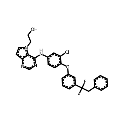 OCCn1ccc2ncnc(Nc3ccc(Oc4cccc(C(F)(F)Cc5ccccc5)c4)c(Cl)c3)c21